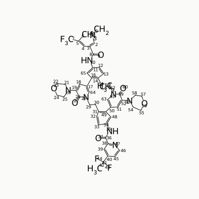 C=N/C=C(\C=C(/C)C(F)(F)F)C(=O)Nc1ccc(C)c(-c2cc(N3CCOCC3)c(=O)n(CCc3ccc(NC(=O)c4cc(C(C)(F)F)ccn4)cc3-c3cc(N4CCOCC4)c(=O)n(C)c3)c2)c1